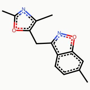 Cc1ccc2c(Cc3oc(C)nc3C)noc2c1